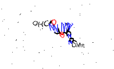 COc1ncc(N2CCc3ncnc(OC4CCN(c5nc(C=O)co5)C4)c3C2)cc1C